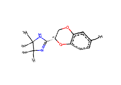 [2H]c1ccc2c(c1)OC[C@@H](C1=NC([2H])([2H])C([2H])([2H])N1)O2